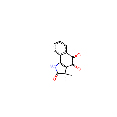 CC1(C)C(=O)NC2=C1C(=O)C(=O)c1ccccc12